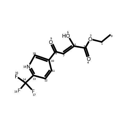 CCOC(=O)/C(O)=C/C(=O)c1ccc(C(F)(F)F)nc1